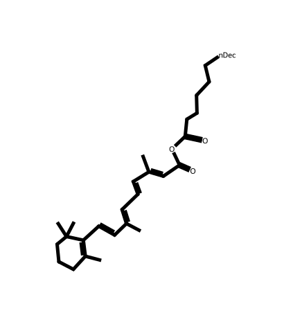 CCCCCCCCCCCCCCCC(=O)OC(=O)C=C(C)C=CC=C(C)C=CC1=C(C)CCCC1(C)C